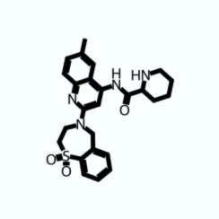 Cc1ccc2nc(N3CCS(=O)(=O)c4ccccc4C3)cc(NC(=O)C3CCCCN3)c2c1